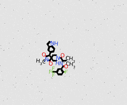 CC(C)[C@@H](NC(=O)c1cc(C(F)(F)F)ccc1F)C(=O)N1CCC2(CC1)C(=O)N(C)C(=O)C2c1ccc2[nH]ccc2c1